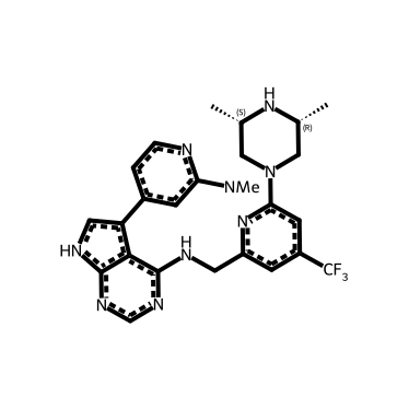 CNc1cc(-c2c[nH]c3ncnc(NCc4cc(C(F)(F)F)cc(N5C[C@@H](C)N[C@@H](C)C5)n4)c23)ccn1